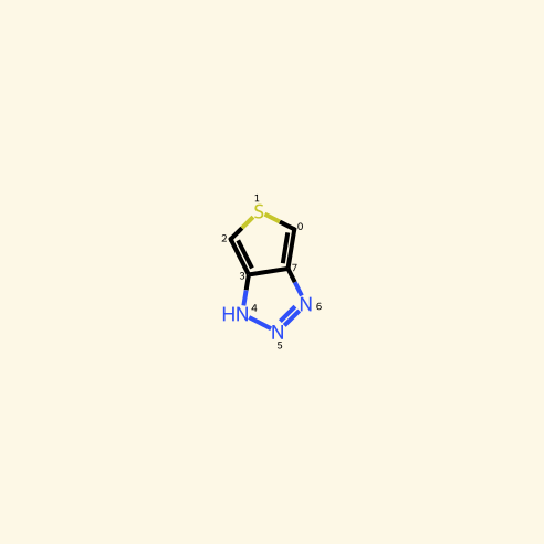 c1scc2[nH]nnc12